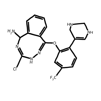 NC1/N=C(/Cl)N/N=C(/Oc2cc(C(F)(F)F)ccc2C2=CNCNC2)c2ccccc21